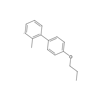 CCCOc1ccc(-c2ccc[c]c2C)cc1